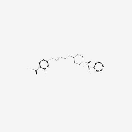 CNC(=O)c1ccc(NCCCCC2CCN(C(=O)[C@](O)(c3ccccc3)C(F)(F)F)CC2)cc1Cl